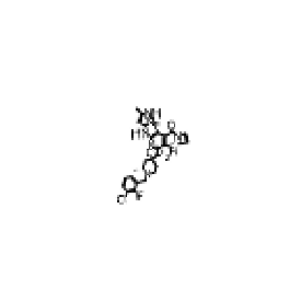 Cc1cc(Nc2nc(C[C@@]3(C(=O)O)CCN(Cc4cccc(Cl)c4F)[C@H](C)C3)c(F)c(C(=O)N3CCC3)c2F)n[nH]1